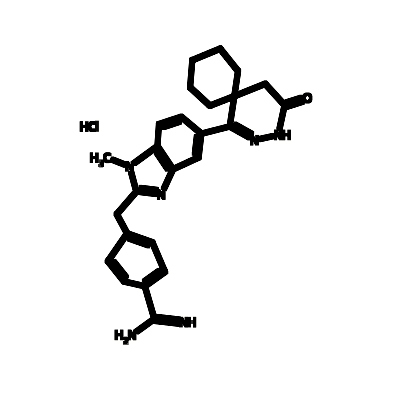 Cl.Cn1c(Cc2ccc(C(=N)N)cc2)nc2cc(C3=NNC(=O)CC34CCCCC4)ccc21